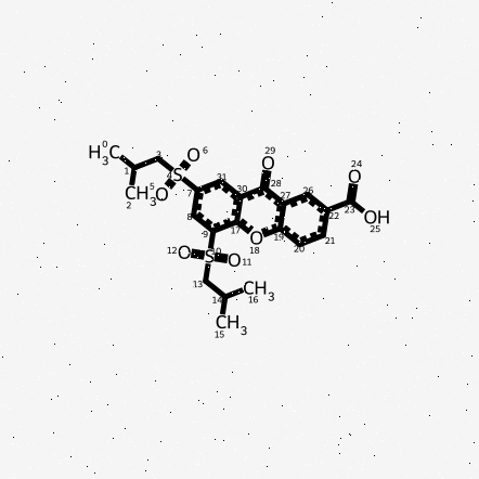 CC(C)CS(=O)(=O)c1cc(S(=O)(=O)CC(C)C)c2oc3ccc(C(=O)O)cc3c(=O)c2c1